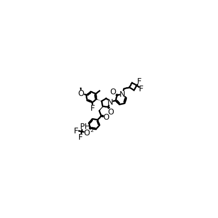 COc1cc(C)c([C@@H]2CN(c3cccn(CC4CC(F)(F)C4)c3=O)C(=O)[C@H]2CC(=O)c2ccc(OC(F)(F)P)cc2)c(F)c1